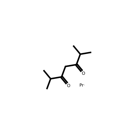 CC(C)C(=O)CC(=O)C(C)C.[Pr]